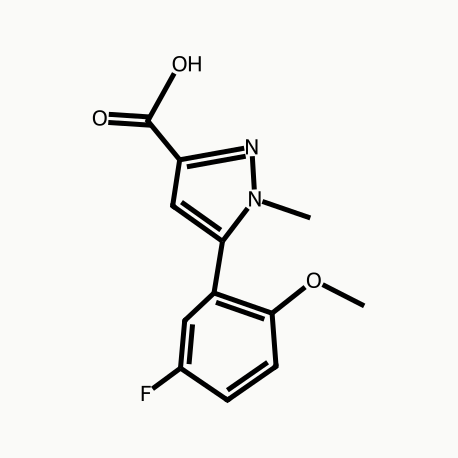 COc1ccc(F)cc1-c1cc(C(=O)O)nn1C